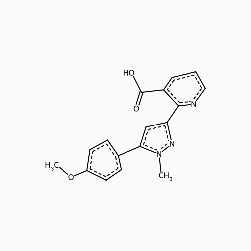 COc1ccc(-c2cc(-c3ncccc3C(=O)O)nn2C)cc1